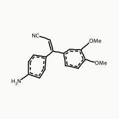 COc1ccc(C(=CC#N)c2ccc(N)cc2)cc1OC